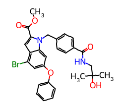 COC(=O)c1cc2c(Br)cc(Oc3ccccc3)cc2n1Cc1ccc(C(=O)NCC(C)(C)O)cc1